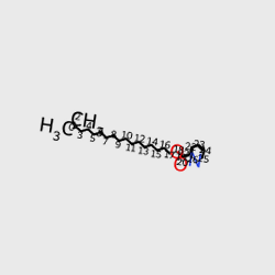 CC(C)CCCCCCCCCCCCCCCOC(=O)c1ccccn1